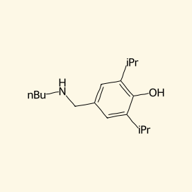 CCCCNCc1cc(C(C)C)c(O)c(C(C)C)c1